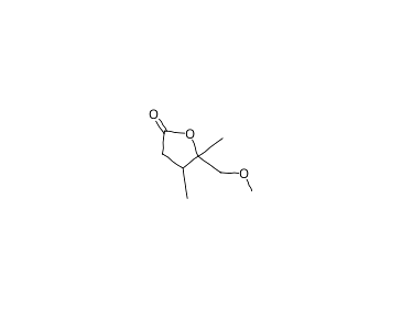 COCC1(C)OC(=O)CC1C